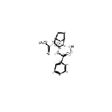 CCO.COC(=O)[C@@H]1C2CCC(C[C@@H]1OC(=O)c1ccccc1)N2C